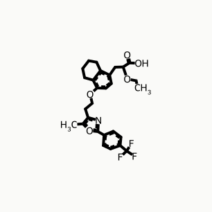 CCOC(Cc1ccc(OCCc2nc(-c3ccc(C(F)(F)F)cc3)oc2C)c2c1CCCC2)C(=O)O